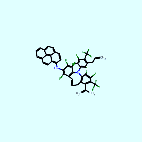 C=CCc1c(F)c(N2c3c(F)c(F)c(Nc4ccc5ccc6cccc7ccc4c5c67)c(F)c3/C=C/Cc3c(C(=C)C)c(C(F)(F)F)c(F)c(F)c32)c(F)c(F)c1C(F)(F)F